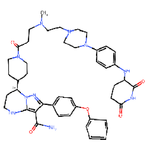 CN(CCC(=O)N1CCC([C@@H]2CCNc3c(C(N)=O)c(-c4ccc(Oc5ccccc5)cc4)nn32)CC1)CCN1CCN(c2ccc(NC3CCC(=O)NC3=O)cc2)CC1